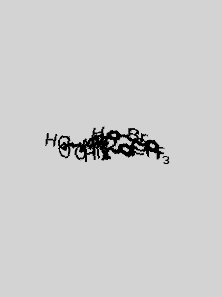 Cc1ccc(CCC2(NC(=O)C3=C(c4ccc(CCCOc5cc(F)ccc5Br)cc4)C[C@@H]4CN(C(=O)CCCC(=O)O)C[C@H]3N4)CC2)cc1